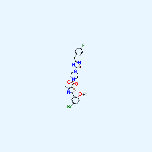 CCOc1ccc(Br)cc1-c1nc(C)c(S(=O)(=O)N2CCN(c3nc(Cc4ccc(F)cc4)ns3)CC2)s1